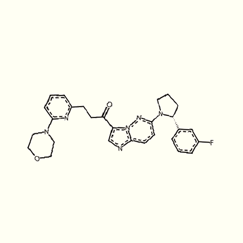 O=C(CCc1cccc(N2CCOCC2)n1)c1cnc2ccc(N3CCC[C@@H]3c3cccc(F)c3)nn12